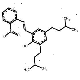 CC(C)CCc1cc(CCC(C)C)c(O)c(N=Nc2ccccc2[N+](=O)[O-])c1